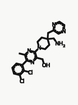 Cc1nc(N2CCC(CN)(Cc3cnccn3)CC2)c(CO)nc1-c1cccc(Cl)c1Cl